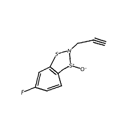 C#CCN1Sc2cc(F)ccc2[S+]1[O-]